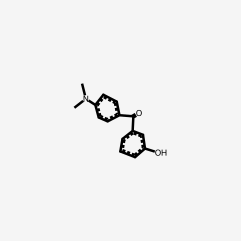 CN(C)c1ccc(C(=O)c2cccc(O)c2)cc1